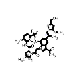 C=Nc1cc(CO)nn1/C=C(\C)c1cc(C)c2c(c1)c(C(C)=O)cn2CC(=O)N1[C@H](I)[C@@H](C)C[C@H]1C(=O)Nc1nc(C(F)(F)F)ccc1C